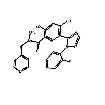 CN(Cc1ccncc1)C(=O)c1cc(-c2ccnn2-c2ccccc2F)c(O)cc1O